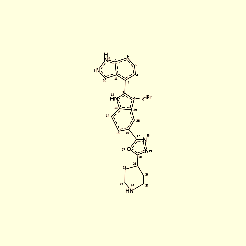 CC(C)c1c(-c2cccc3[nH]ncc23)[nH]c2ccc(-c3nnc(C4CCNCC4)o3)cc12